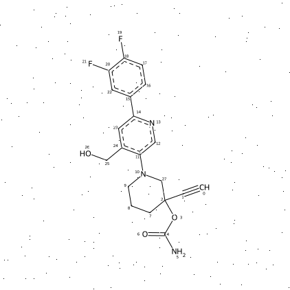 C#CC1(OC(N)=O)CCCN(c2cnc(-c3ccc(F)c(F)c3)cc2CO)C1